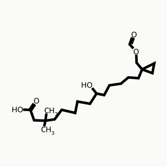 CC(C)(CCCCCC(O)CCCCCC1(COC=O)CC1)CC(=O)O